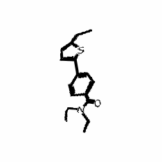 CCc1ccc(-c2ccc(C(=O)N(CC)CC)cc2)s1